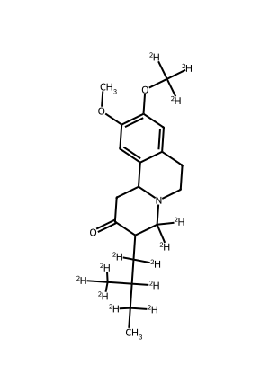 [2H]C([2H])([2H])Oc1cc2c(cc1OC)C1CC(=O)C(C([2H])([2H])C([2H])(C([2H])([2H])[2H])C([2H])([2H])C)C([2H])([2H])N1CC2